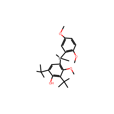 COc1ccc(OC)c([Si](C)(C)c2cc(C(C)(C)C)c(O)c(C(C)(C)C)c2OC)c1